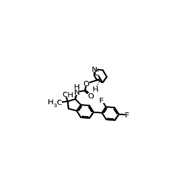 CC1(C)Cc2ccc(-c3ccc(F)cc3F)cc2C1NC(=O)O[C@H]1CN2CCC1CC2